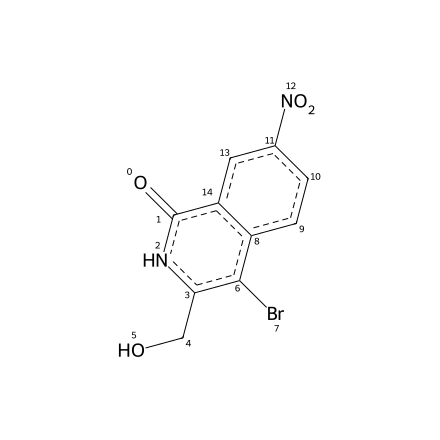 O=c1[nH]c(CO)c(Br)c2ccc([N+](=O)[O-])cc12